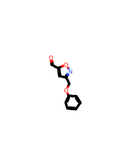 O=Cc1cc(COc2ccccc2)no1